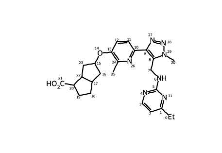 CCc1ccnc(NCc2c(-c3ccc(OC4CC5CCC(C(=O)O)C5C4)c(C)n3)nnn2C)n1